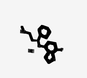 CNCC[C@H](Oc1ccc(F)c2sccc12)c1ccccc1.Cl